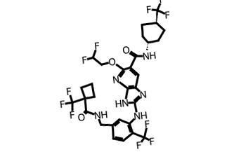 O=C(N[C@H]1CC[C@H](C(F)(F)F)CC1)c1cc2nc(Nc3cc(CNC(=O)C4(C(F)(F)F)CCC4)ccc3C(F)(F)F)[nH]c2nc1OCC(F)F